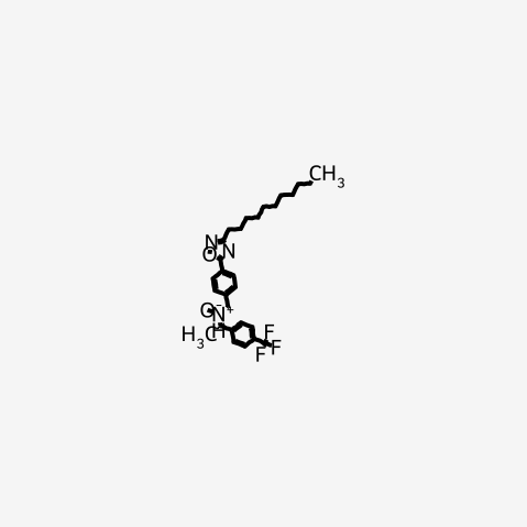 CCCCCCCCCCCc1noc(-c2ccc(C[NH+]([O-])[C@@H](C)c3ccc(C(F)(F)F)cc3)cc2)n1